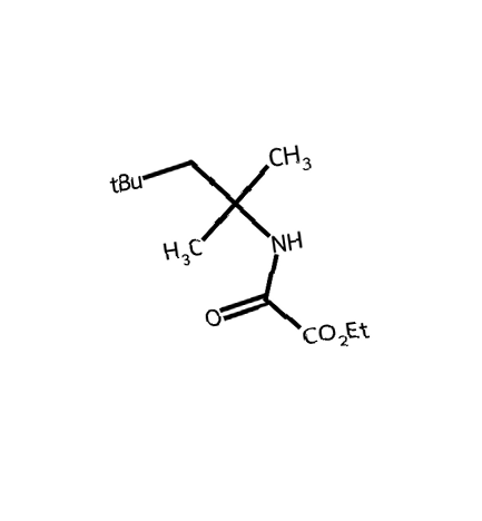 CCOC(=O)C(=O)NC(C)(C)CC(C)(C)C